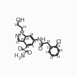 NS(=O)(=O)C1=CC(NC(=O)Cc2ccccc2Cl)=CC2C1C=NN2CCO